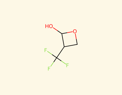 OC1OCC1C(F)(F)F